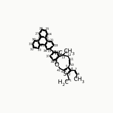 C=Cc1sc2c(c1/C=C\C)/C=C\CC(C)(C)c1cc(-c3ccc4c5ccccc5c5ccccc5c4c3)ccc1OC2